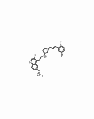 COc1ccc2ncc(F)c(CCNC3CCN(CC=Cc4cc(F)ccc4F)C3)c2c1